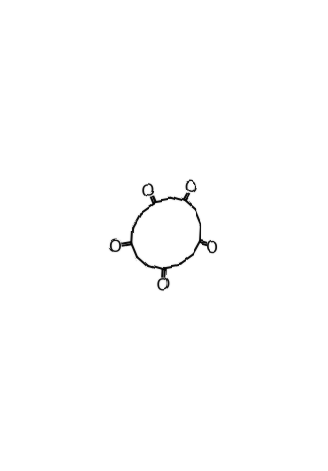 O=C1CCC(=O)CCC(=O)CC(=O)CCC(=O)CC1